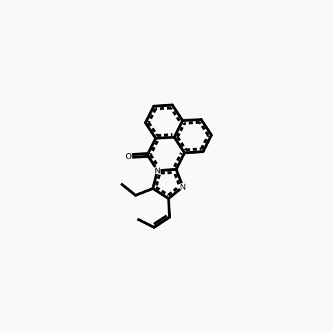 C/C=C\c1nc2c3cccc4cccc(c(=O)n2c1CC)c43